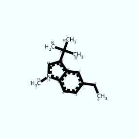 CCc1ccc2c(c1)c(C(C)(C)C)cn2C